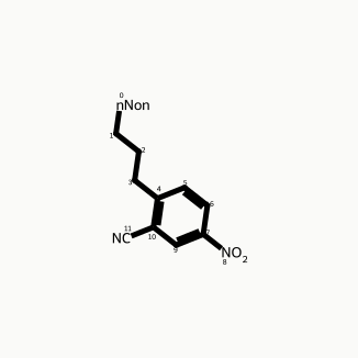 CCCCCCCCCCCCc1c[c]c([N+](=O)[O-])cc1C#N